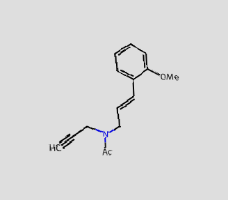 C#CCN(CC=Cc1ccccc1OC)C(C)=O